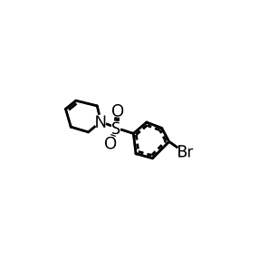 O=S(=O)(c1ccc(Br)cc1)N1CC=CCC1